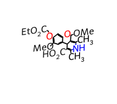 CCOC(=O)COc1ccc(C2C(C(=O)O)=C(C)NC(C)=C2C(=O)OC)cc1OC